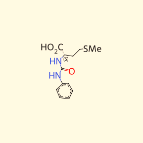 CSCC[C@H](NC(=O)Nc1ccccc1)C(=O)O